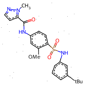 COc1cc(NC(=O)c2ccnn2C)ccc1S(=O)(=O)Nc1cccc(C(C)(C)C)c1